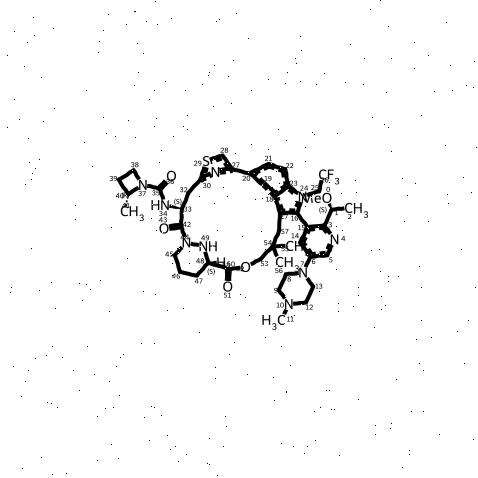 CO[C@@H](C)c1ncc(N2CCN(C)CC2)cc1-c1c2c3cc(ccc3n1CC(F)(F)F)-c1csc(n1)C[C@H](NC(=O)N1CC[C@H]1C)C(=O)N1CCC[C@H](N1)C(=O)OCC(C)(C)C2